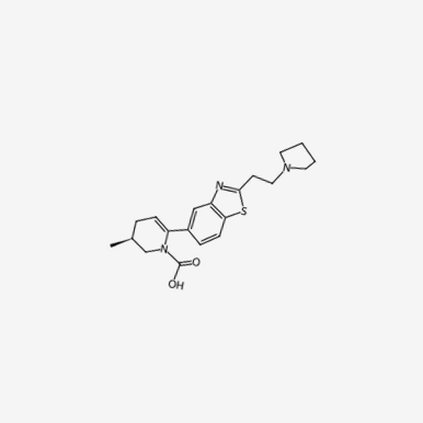 C[C@H]1CC=C(c2ccc3sc(CCN4CCCC4)nc3c2)N(C(=O)O)C1